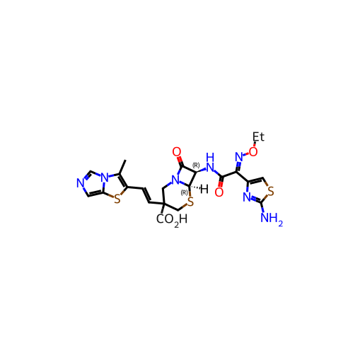 CCON=C(C(=O)N[C@@H]1C(=O)N2CC(C=Cc3sc4cncn4c3C)(C(=O)O)CS[C@H]12)c1csc(N)n1